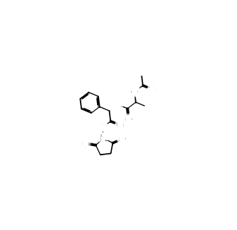 CC(=O)OC(C)C(=O)O[C@H](C(=O)ON1C(=O)CCC1=O)c1ccccc1